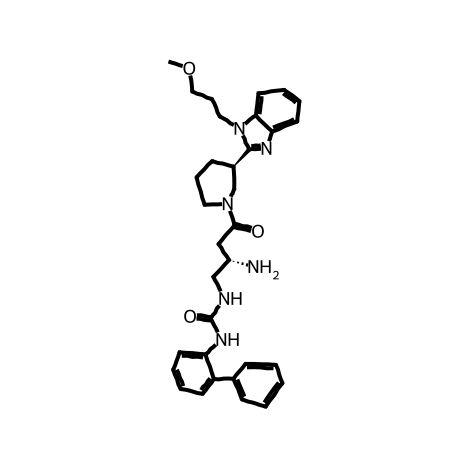 COCCCn1c([C@@H]2CCCN(C(=O)C[C@H](N)CNC(=O)Nc3ccccc3-c3ccccc3)C2)nc2ccccc21